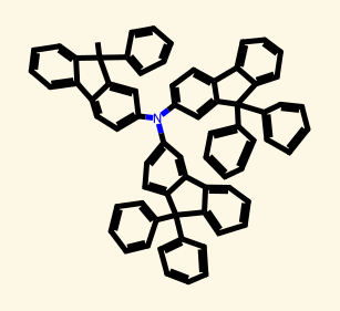 CC1(c2ccccc2)c2ccccc2-c2ccc(N(c3ccc4c(c3)-c3ccccc3C4(c3ccccc3)c3ccccc3)c3ccc4c(c3)C(c3ccccc3)(c3ccccc3)c3ccccc3-4)cc21